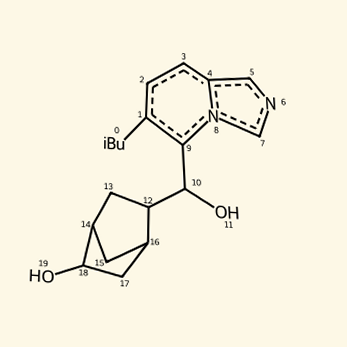 CCC(C)c1ccc2cncn2c1C(O)C1CC2CC1CC2O